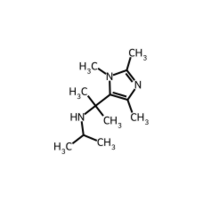 Cc1nc(C)n(C)c1C(C)(C)NC(C)C